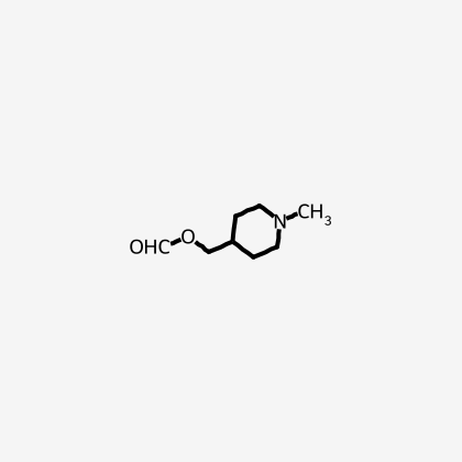 CN1CCC(COC=O)CC1